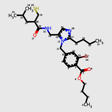 CCCCOC(=O)c1ccc(Cn2c(CNC(=O)C(CS)CC(C)C)cnc2CCCC)cc1Br